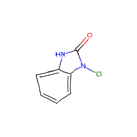 O=c1[nH]c2ccccc2n1Cl